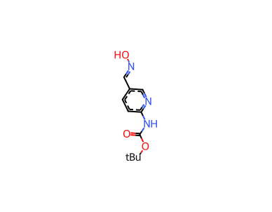 CC(C)(C)OC(=O)Nc1ccc(/C=N/O)cn1